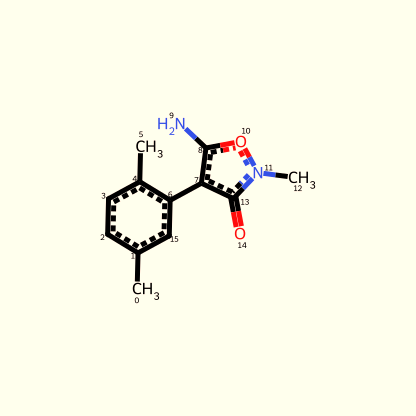 Cc1ccc(C)c(-c2c(N)on(C)c2=O)c1